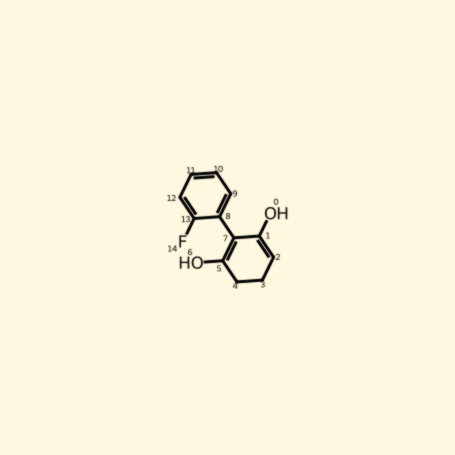 OC1=CCCC(O)=C1c1ccccc1F